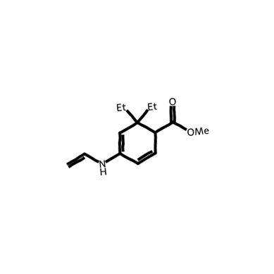 C=CNC1=CC(CC)(CC)C(C(=O)OC)C=C1